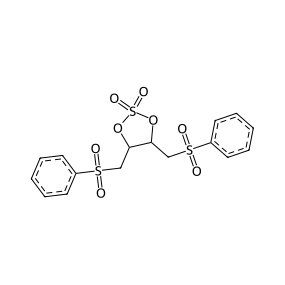 O=S1(=O)OC(CS(=O)(=O)c2ccccc2)C(CS(=O)(=O)c2ccccc2)O1